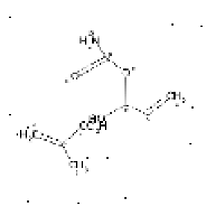 C=C(C)C(=O)O.C=CC(O)OC(N)=O